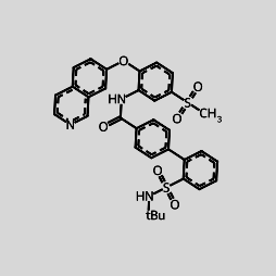 CC(C)(C)NS(=O)(=O)c1ccccc1-c1ccc(C(=O)Nc2cc(S(C)(=O)=O)ccc2Oc2ccc3ccncc3c2)cc1